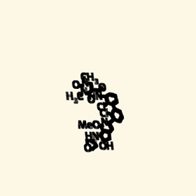 COc1nc(-c2cccc(-c3cccc(NC(=O)c4cn(C)c(=O)n(C)c4=O)c3Cl)c2Cl)cc2c1[C@@H](N[C@H]1CCOC1)[C@H](O)C2